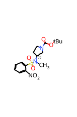 CN([C@H]1CCN(C(=O)OC(C)(C)C)C1)S(=O)(=O)c1ccccc1[N+](=O)[O-]